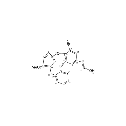 COc1ccc(Oc2c(Br)cc(C=NO)cc2Br)cc1Cc1ccccc1